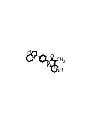 C=C(C(=O)N(C)c1ccc([C@H]2CC[C@H]3CCCCN32)cc1)C1CCCNC1